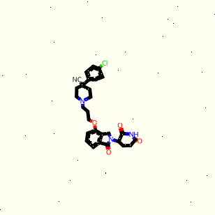 N#CC1(c2ccc(Cl)cc2)CCN(CCCOc2cccc3c2CN(C2CCC(=O)NC2=O)C3=O)CC1